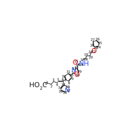 O=C(O)CCCCC=C(c1ccc(-c2nc(C(=O)NCCCCCOc3ccccc3)co2)cc1)c1cccnc1